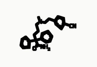 CN(CCCC(C(N)=O)(c1ccccc1)c1ccccc1)CCc1ccc(C#N)cc1